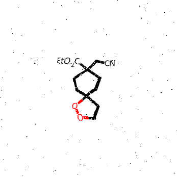 CCOC(=O)C1(CC#N)CCC2(CCOO2)CC1